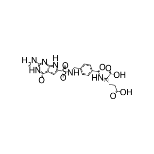 Nc1nc2[nH]c(S(=O)(=O)NCc3ccc(C(=O)N[C@@H](CCC(=O)O)C(=O)O)cc3)cc2c(=O)[nH]1